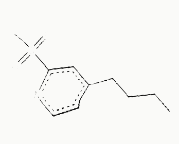 CCC[CH]c1ccnc(S(C)(=O)=O)c1